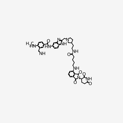 CNc1ccc(C(=O)Nc2ccc3[nH]c(CN4CCC(CCNC(=O)CCCCNc5cccc6c5C(=O)N(C5CCC(=O)NC5=O)C6=O)C4)nc3c2)cc1C=N